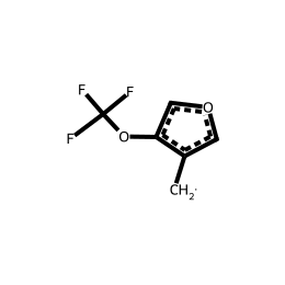 [CH2]c1cocc1OC(F)(F)F